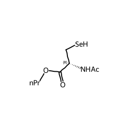 CCCOC(=O)[C@H](C[SeH])NC(C)=O